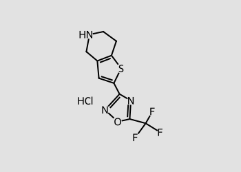 Cl.FC(F)(F)c1nc(-c2cc3c(s2)CCNC3)no1